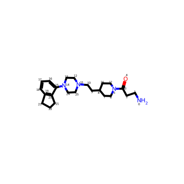 NCCC(=O)N1CCC(CCN2CCN(c3cccc4c3CCC4)CC2)CC1